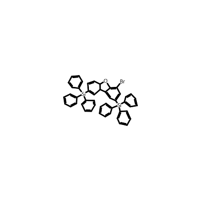 Brc1cc([Si](c2ccccc2)(c2ccccc2)c2ccccc2)cc2c1OC1C=CC([Si](c3ccccc3)(c3ccccc3)c3ccccc3)=CC21